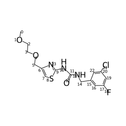 COCCOCc1csc(NC(=O)NCc2cc(F)cc(Cl)c2)n1